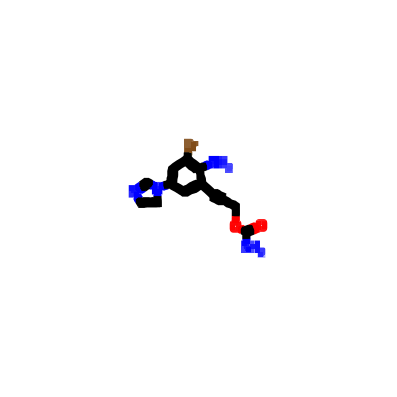 NC(=O)OCC#Cc1cc(-n2ccnc2)cc(Br)c1N